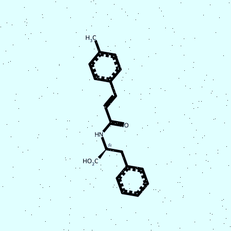 Cc1ccc(C=CC(=O)N[C@@H](Cc2ccccc2)C(=O)O)cc1